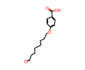 O=CCCCCCCCOc1ccc(C(=O)O)cc1